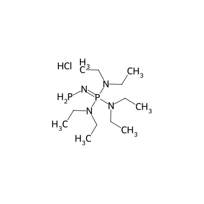 CCN(CC)P(=NP)(N(CC)CC)N(CC)CC.Cl